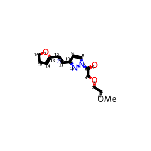 COCCOCC(=O)n1ccc(/C=C/C2=CCCO2)n1